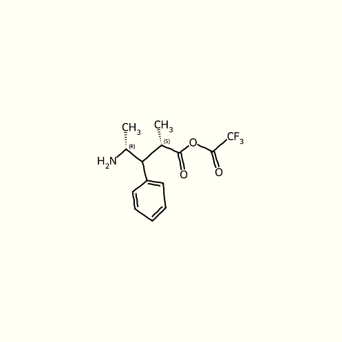 C[C@H](C(=O)OC(=O)C(F)(F)F)C(c1ccccc1)[C@@H](C)N